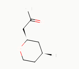 CC(=O)C[C@H]1C[C@@H](C)CCO1